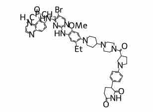 CCc1cc(Nc2ncc(Br)c(Nc3ccc4nccnc4c3P(C)(C)=O)n2)c(OC)cc1N1CCC(N2CCN(C(=O)C3CCN(c4ccc(C5CCC(=O)NC5=O)cc4)C3)CC2)CC1